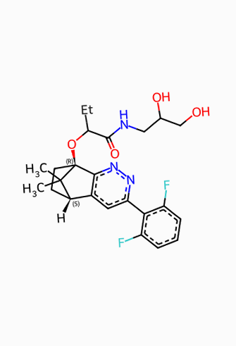 CCC(O[C@@]12CC[C@@H](c3cc(-c4c(F)cccc4F)nnc31)C2(C)C)C(=O)NCC(O)CO